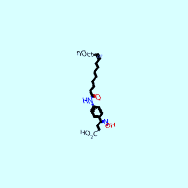 CCCCCCCC/C=C\CCCCCCCC(=O)Nc1ccc(C(CCC(=O)O)=NO)cc1